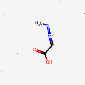 CN=[N+]=CC(=O)O